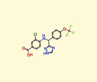 O=C(O)c1ccc(NC(c2ccc(OC(F)(F)F)cc2)c2nc[nH]n2)c(Cl)c1